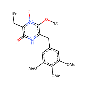 CCOc1c(Cc2cc(OC)c(OC)c(OC)c2)[nH]c(=O)c(CC(C)C)[n+]1[O-]